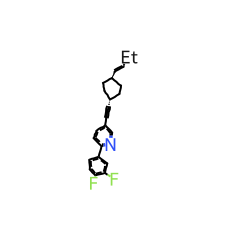 CC/C=C/[C@H]1CC[C@H](C#Cc2ccc(-c3ccc(F)c(F)c3)nc2)CC1